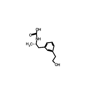 C[C@@H](Cc1cccc(CCO)c1)NC(=O)O